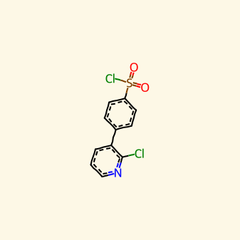 O=S(=O)(Cl)c1ccc(-c2cccnc2Cl)cc1